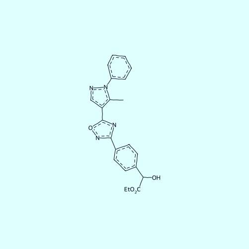 CCOC(=O)C(O)c1ccc(-c2noc(-c3cnn(-c4ccccc4)c3C)n2)cc1